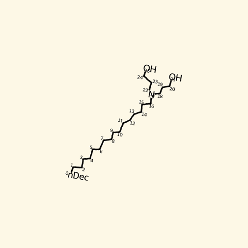 CCCCCCCCCCCCCCCCCCCCCCCCCCN(CCCO)CCCO